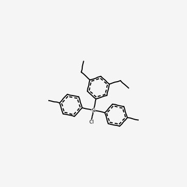 CCc1cc(CC)cc([Si](Cl)(c2ccc(C)cc2)c2ccc(C)cc2)c1